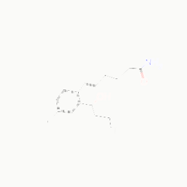 CCCC(O)c1cc(C)ccc1C=CCCCC(N)=O